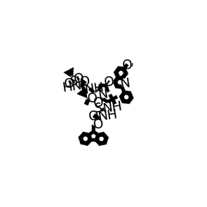 C=C[C@@H]1C[C@]1(NC(=O)[C@@H]1C[C@@H](Oc2cc(-c3ccccc3)nc3cc(OC)ccc23)CN1C(=O)C(NC(=S)NC(=O)OCC1c2ccccc2-c2ccccc21)C(C)(C)C)C(=O)NS(=O)(=O)C1CC1